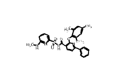 CNc1cccc(S(=O)(=O)NC(=O)c2ccc(-c3ccccc3)nc2Oc2c(C)cc(C)cc2C)n1